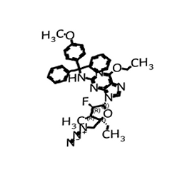 CCOc1nc(NC(c2ccccc2)(c2ccccc2)c2ccc(OC)cc2)nc2c1ncn2[C@@H]1O[C@@](CC)(CN=[N+]=[N-])[C@@H](C)[C@H]1F